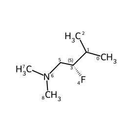 CC(C)[C@H](F)CN(C)C